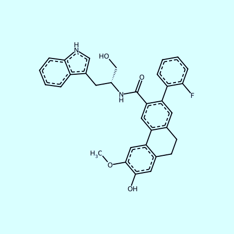 COc1cc2c(cc1O)CCc1cc(-c3ccccc3F)c(C(=O)N[C@@H](CO)Cc3c[nH]c4ccccc34)cc1-2